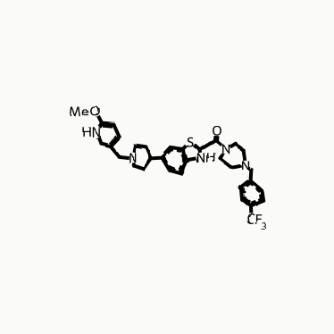 COC1=CC=C(CN2CCC(c3ccc4c(c3)SC(C(=O)N3CCN(Cc5ccc(C(F)(F)F)cc5)CC3)N4)CC2)CN1